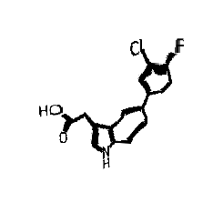 O=C(O)Cc1c[nH]c2ccc(-c3ccc(F)c(Cl)c3)cc12